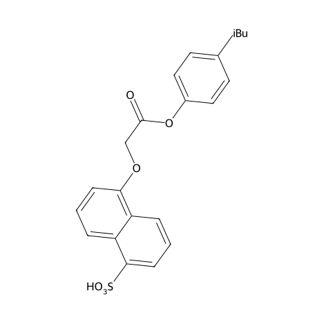 CCC(C)c1ccc(OC(=O)COc2cccc3c(S(=O)(=O)O)cccc23)cc1